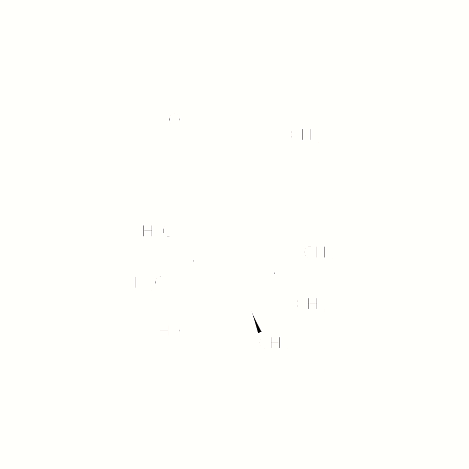 Cc1cc2c(cc1C=O)C(C)(C)[C@@H](C)[C@H](C)C2(C)C